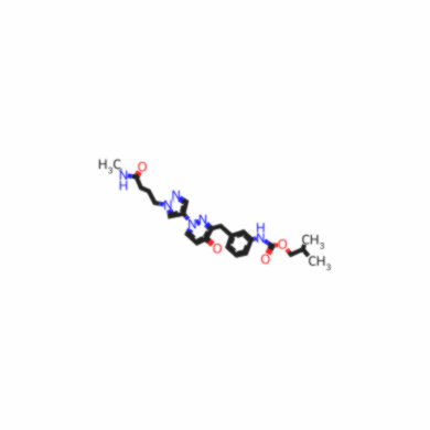 CNC(=O)CCCn1cc(-n2ccc(=O)c(Cc3cccc(NC(=O)OCC(C)C)c3)n2)cn1